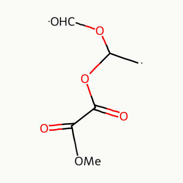 [CH2]C(O[C]=O)OC(=O)C(=O)OC